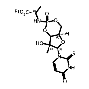 CCOC(=O)[C@H](C)NP1(=O)OC[C@H]2O[C@@H](n3ccc(=O)[nH]c3=S)[C@](C)(O)C2O1